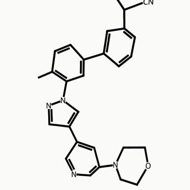 Cc1ccc(-c2cccc(C(C)C#N)c2)cc1-n1cc(-c2cncc(N3CCOCC3)c2)cn1